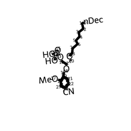 CCCCCCCCCCCCCCCCCCOC[C@@H](COP(=O)(O)O)OCc1ccc(C#N)cc1OC